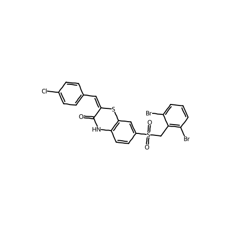 O=C1Nc2ccc(S(=O)(=O)Cc3c(Br)cccc3Br)cc2S/C1=C/c1ccc(Cl)cc1